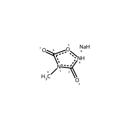 Cn1c(=O)[nH]oc1=O.[NaH]